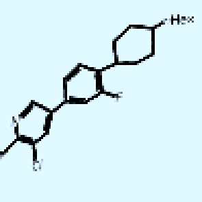 CCCCCCC1CCC(c2ccc(-c3cnc(Cl)c(Cl)c3)cc2F)CC1